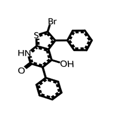 O=c1[nH]c2sc(Br)c(-c3ccccc3)c2c(O)c1-c1ccccc1